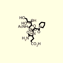 CC(=O)N[C@@H](C=O)[C@@H](OC(C(=O)NC(CCC(=O)O)C(N)=O)C(=O)N1CCCCC1)[C@H](O)[C@H](O)CO